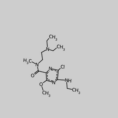 CCNc1nc(OC)c(C(=O)N(C)CCN(CC)CC)nc1Cl